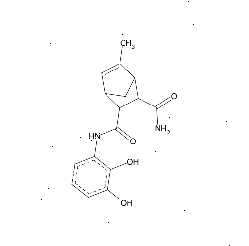 CC1=CC2CC1C(C(N)=O)C2C(=O)Nc1cccc(O)c1O